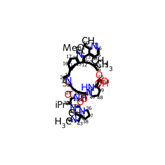 CCn1c(-c2cccnc2[C@H](C)OC)c2c3cc(ccc31)-c1csc(n1)C[C@H](NC(=O)[C@H](C(C)C)N(C)C(=O)N1CCCC13CN(C)C3)C(=O)N1CCC[C@@](O)(N1)C(=O)OCC(C)(C)C2